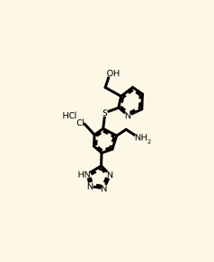 Cl.NCc1cc(-c2nnn[nH]2)cc(Cl)c1Sc1ncccc1CO